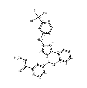 CNC(=O)c1cc(CSc2ncccc2-c2nnc(Nc3cccc(C(F)(F)F)c3)o2)ccn1